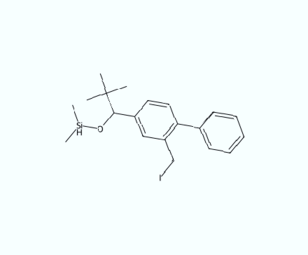 C[SiH](C)OC(c1ccc(-c2ccccc2)c(CI)c1)C(C)(C)C